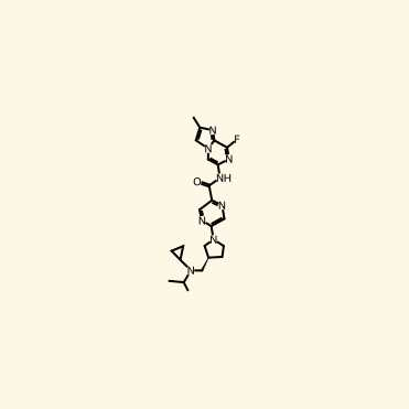 Cc1cn2cc(NC(=O)c3cnc(N4CC[C@@H](CN(C(C)C)C5CC5)C4)cn3)nc(F)c2n1